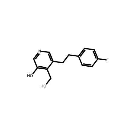 OCc1c(O)cncc1CCc1ccc(F)cc1